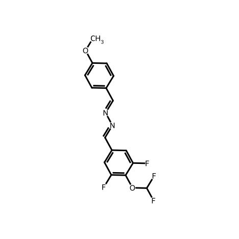 COc1ccc(C=NN=Cc2cc(F)c(OC(F)F)c(F)c2)cc1